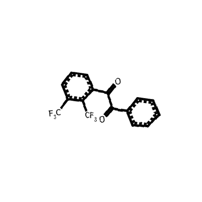 O=C(C(=O)c1cccc(C(F)(F)F)c1C(F)(F)F)c1ccccc1